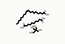 CCCCCCCC/C=C\CCCCCCCC(=O)O.O=C(O)CCCCCCCCC(=O)O.OCC(CO)(CO)CO